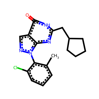 Cc1cccc(Cl)c1-n1ncc2c(=O)[nH]c(CC3CCCC3)nc21